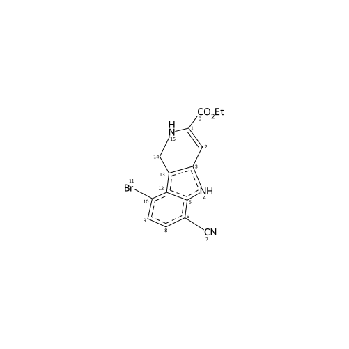 CCOC(=O)C1=Cc2[nH]c3c(C#N)ccc(Br)c3c2CN1